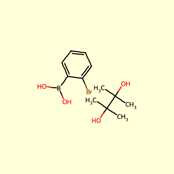 CC(C)(O)C(C)(C)O.OB(O)c1ccccc1Br